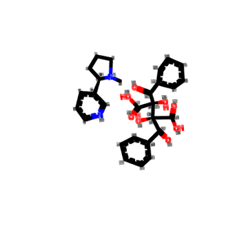 CN1CCC[C@@H]1c1cccnc1.O=C(O)[C@](O)(C(=O)c1ccccc1)[C@](O)(C(=O)O)C(=O)c1ccccc1